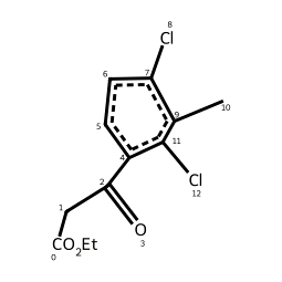 CCOC(=O)CC(=O)c1ccc(Cl)c(C)c1Cl